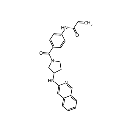 C=CC(=O)Nc1ccc(C(=O)N2CCC(Nc3cc4ccccc4cn3)C2)cc1